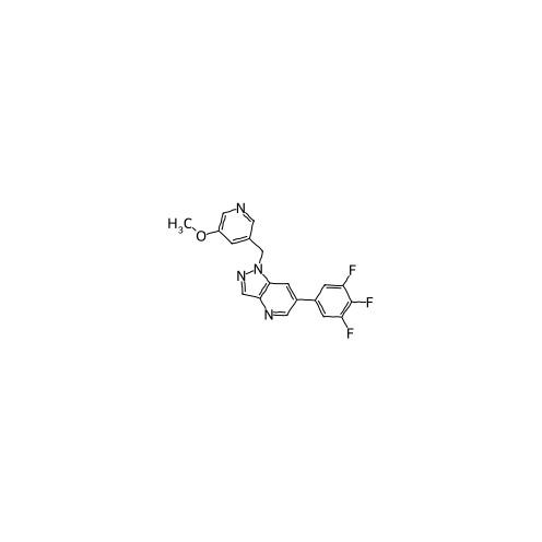 COc1cncc(Cn2ncc3ncc(-c4cc(F)c(F)c(F)c4)cc32)c1